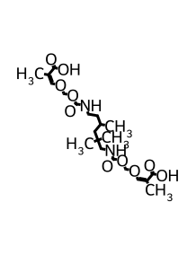 CC(=COCOC(=O)NCCC(C)CC(C)(C)CNC(=O)OCOC=C(C)C(=O)O)C(=O)O